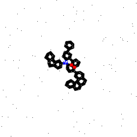 c1ccc(-c2ccc(N(c3ccc(-c4ccc5ccc6ccc7ccccc7c6c5c4)cc3)c3ccc4ccc5ccccc5c4c3)c(-c3ccccc3)c2)cc1